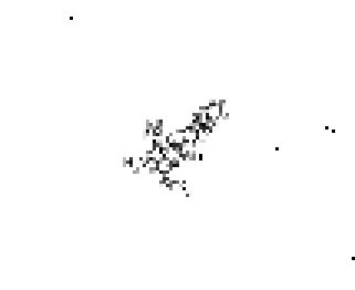 COc1ccc(-n2nc(C(F)(F)F)cc2N(C(=O)O)C2CCN(S(=O)(=O)c3ccccc3)CC2)c(CN)c1